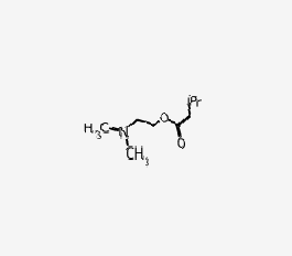 CC(C)CC(=O)OCCN(C)C